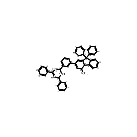 CC1C=C(c2cccc(C3NC(c4ccccc4)=NC(c4ccccc4)N3)c2)C=C2C1c1ccccc1C2(c1ccccc1)C1C=CC=CC1